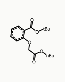 CCCCOC(=O)COc1ccccc1C(=O)OC(C)(C)C